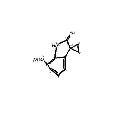 COc1cccc2c1NC(=O)C21CC1